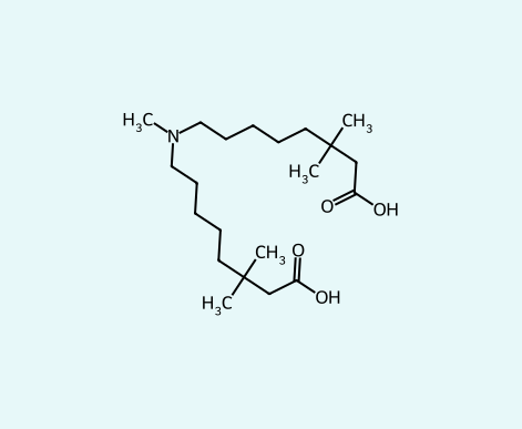 CN(CCCCCC(C)(C)CC(=O)O)CCCCCC(C)(C)CC(=O)O